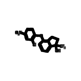 O=[N+]([O-])c1ccc(Oc2cccc3c2CCC3(O)C(F)(F)F)c(Cl)c1